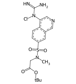 CN(CC(=O)OC(C)(C)C)S(=O)(=O)c1ccc2c(N(Cl)C(=N)N)cncc2c1